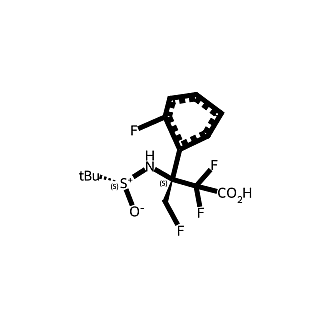 CC(C)(C)[S@@+]([O-])N[C@](CF)(c1ccccc1F)C(F)(F)C(=O)O